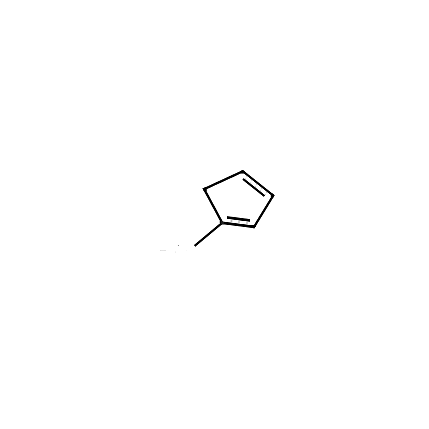 [AsH]C1=CC=CC1